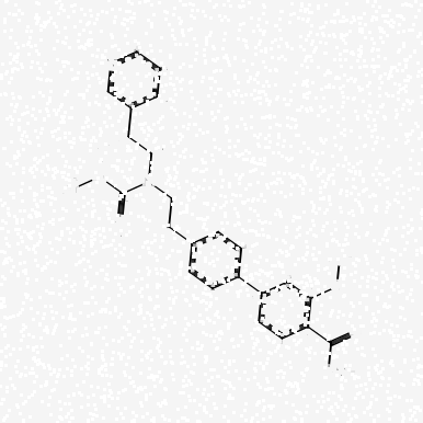 COC(=O)c1ccc(-c2ccc(CCN(C[C@H](O)c3cccnc3)C(=O)OC(C)(C)C)cc2)cc1SC(C)C